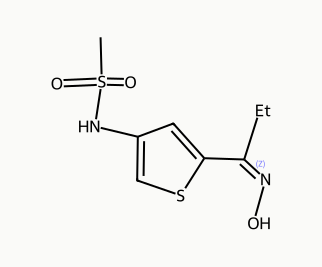 CC/C(=N/O)c1cc(NS(C)(=O)=O)cs1